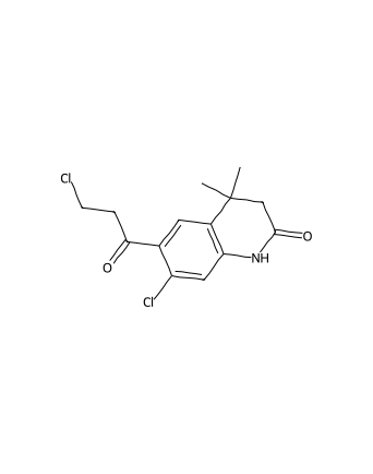 CC1(C)CC(=O)Nc2cc(Cl)c(C(=O)CCCl)cc21